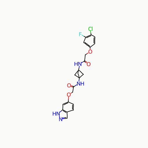 O=C(COc1ccc(Cl)c(F)c1)NC12CC(NC(=O)COc3ccc4cn[nH]c4c3)(C1)C2